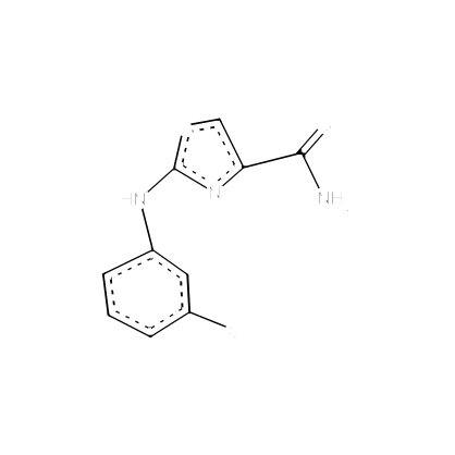 NC(=S)c1csc(Nc2cccc(Cl)c2)n1